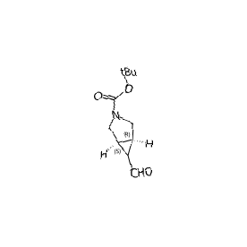 CC(C)(C)OC(=O)N1C[C@@H]2C(C=O)[C@@H]2C1